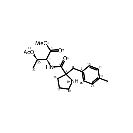 COC(=O)[C@@H](NC(=O)C1(Cc2ccc(C)cc2)CCCN1)[C@@H](C)OC(C)=O